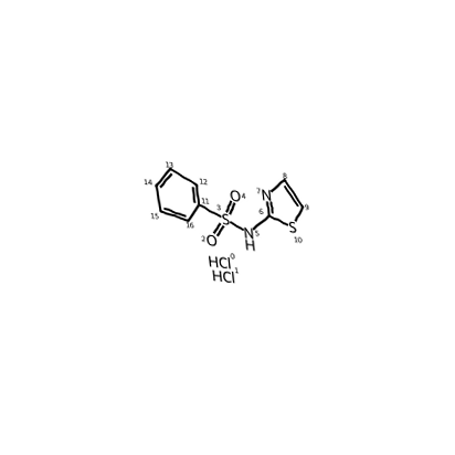 Cl.Cl.O=S(=O)(Nc1nccs1)c1ccccc1